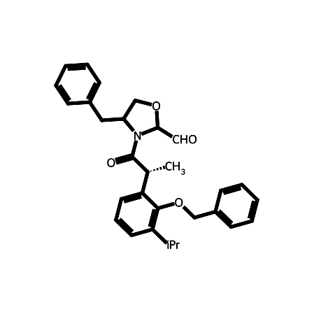 CC(C)c1cccc([C@@H](C)C(=O)N2C(Cc3ccccc3)COC2C=O)c1OCc1ccccc1